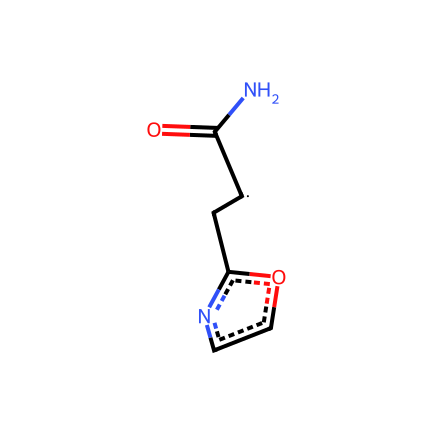 NC(=O)[CH]Cc1ncco1